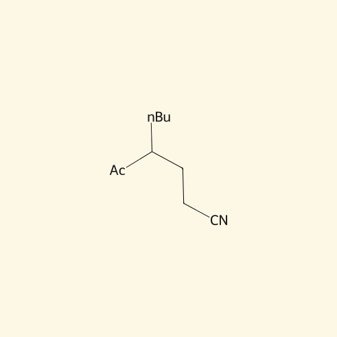 CCCCC(CCC#N)C(C)=O